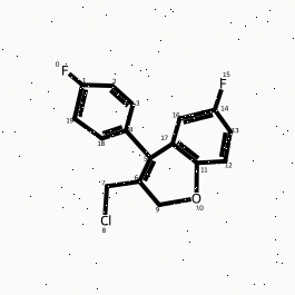 Fc1ccc(C2=C(CCl)COc3ccc(F)cc32)cc1